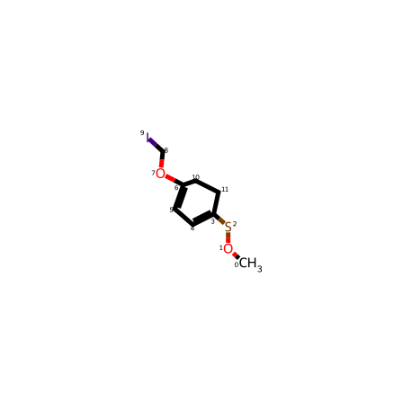 COSC1=CC=C(OCI)CC1